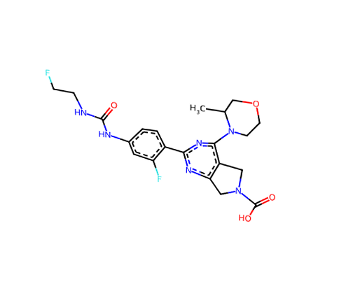 CC1COCCN1c1nc(-c2ccc(NC(=O)NCCF)cc2F)nc2c1CN(C(=O)O)C2